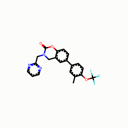 Cc1cc(-c2ccc3c(c2)CN(Cc2ncccn2)C(=O)O3)ccc1OC(F)(F)F